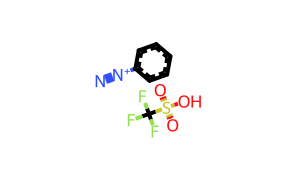 N#[N+]c1ccccc1.O=S(=O)(O)C(F)(F)F